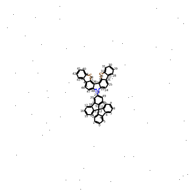 c1ccc2c(c1)-c1ccccc1C21c2ccccc2-c2cc(-n3c4ccc5c6ccccc6sc5c4c4c5sc6ccccc6c5ccc43)ccc21